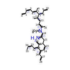 C=C\C=C/C=C(C)/C(=C\C=C)C(/C)=C/C=C(\C)N(/C=C(\N)CC\C=C/C(=C\C=C)C(/C=C)=C/C=C\C)C(C)C